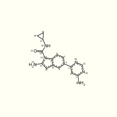 Nc1cc(-c2ccc3c(c2)cc(N)n3C(=O)NC2CC2)ncn1